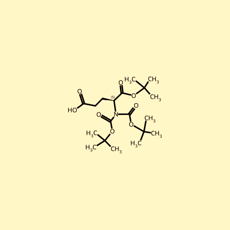 CC(C)(C)OC(=O)[C@H](CCC(=O)O)N(C(=O)OC(C)(C)C)C(=O)OC(C)(C)C